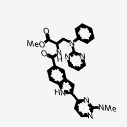 CNc1nccc(-c2cc3cc(C(=O)NC(CN(c4ccccc4)c4ncccn4)C(=O)OC)ccc3[nH]2)n1